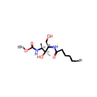 CC(C)CCCCC(=O)N[C@H](CO)[C@@](C)(O)[C@H](C)NC(=O)OC(C)(C)C